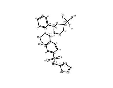 O=S(=O)(Nc1ncns1)c1ccc2c(c1)OCC[C@@H]2N1CCC(C(F)(F)F)C[C@@H]1c1ccccc1